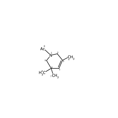 CC(=O)N1CC(C)=CC(C)(C)C1